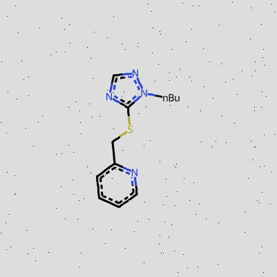 CCCCn1ncnc1SCc1ccccn1